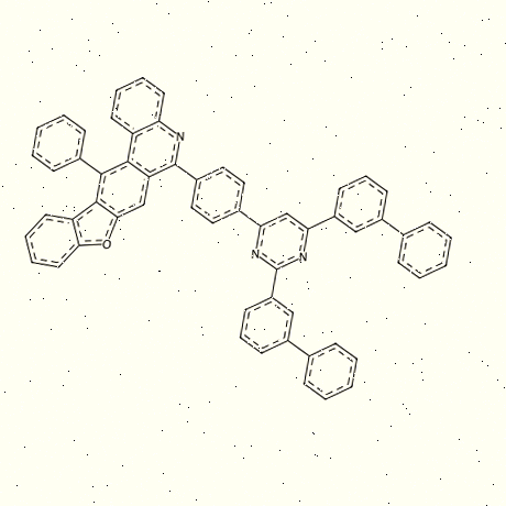 c1ccc(-c2cccc(-c3cc(-c4ccc(-c5nc6ccccc6c6c(-c7ccccc7)c7c(cc56)oc5ccccc57)cc4)nc(-c4cccc(-c5ccccc5)c4)n3)c2)cc1